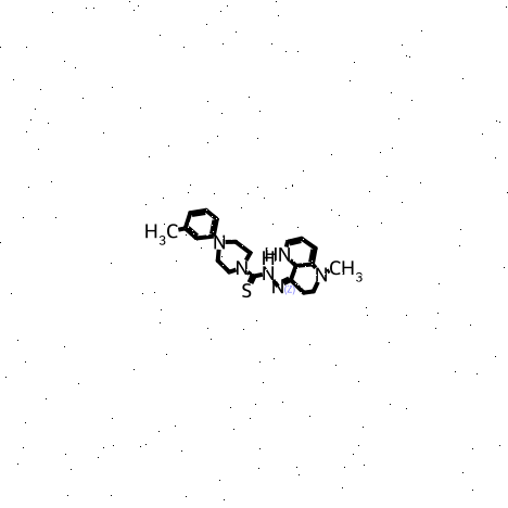 Cc1cccc(N2CCN(C(=S)N/N=C3/CCN(C)C4=CC=CNC43)CC2)c1